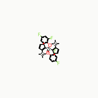 C[Si](C)(C)C1=[C]([Zr]([O]c2ccc(F)cc2F)([O]c2ccc(F)cc2F)[C]2=C([Si](C)(C)C)C=CC2)CC=C1